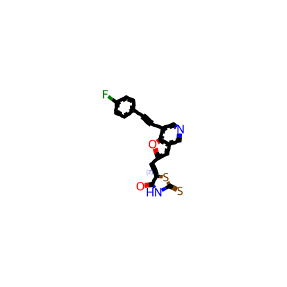 O=C1NC(=S)S/C1=C\c1cc2cncc(C#Cc3ccc(F)cc3)c2o1